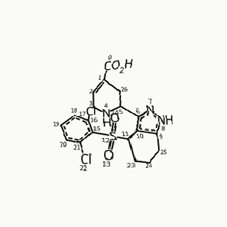 O=C(O)C1=CCNC(c2n[nH]c3c2C(S(=O)(=O)c2c(Cl)cccc2Cl)CCC3)C1